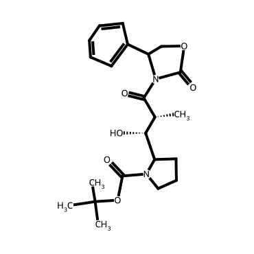 C[C@@H](C(=O)N1C(=O)OCC1c1ccccc1)[C@@H](O)C1CCCN1C(=O)OC(C)(C)C